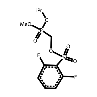 COP(=O)(COS(=O)(=O)c1c(F)cccc1F)OC(C)C